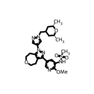 COc1ncc(-c2nn(-c3cnn(CC4C[C@@H](C)O[C@@H](C)C4)c3)c3c2CCOCC3)cc1NS(C)(=O)=O